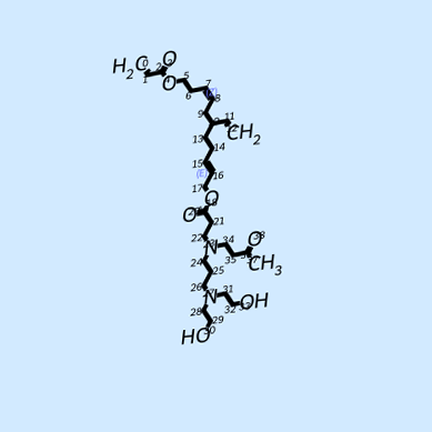 C=CC(=O)OCC/C=C\CC(C=C)CC/C=C/COC(=O)CCN(CCCN(CCO)CCO)CCC(C)=O